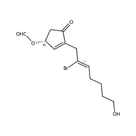 O=CO[C@H]1C=C(C/C(Br)=C/CCCCO)C(=O)C1